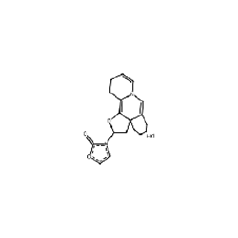 Cl.O=c1occn1C1CC23CCCCC2=CN2C=CCCC2=C3O1